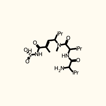 C/C(=C\C(C(C)C)N(C)C(=O)C(NC(=O)C(N)C(C)C)C(C)C)C(=O)N[SH](=O)=O